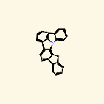 c1ccc2c(c1)Cc1c-2ccc2c3cccc4c5ccccc5n(c12)c43